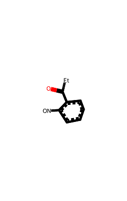 CCC(=O)c1ccccc1N=O